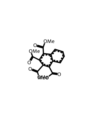 COC(=O)c1c(C(=O)OC)c(C(=O)OC)c2ccccc2c1C(=O)OC